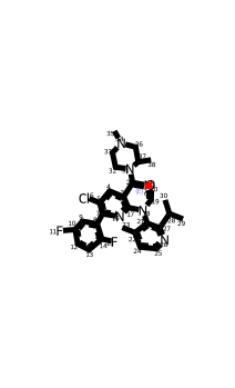 C/N=C(\c1cc(Cl)c(-c2cc(F)ccc2F)nc1N(C=O)c1c(C)ccnc1C(C)C)N1CCN(C)CC1C